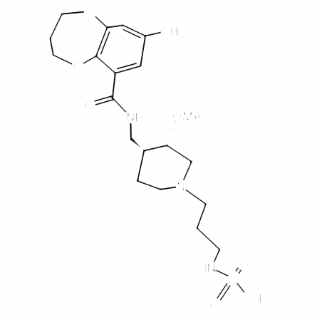 CO[C@@H]1CN(CCCNS(C)(=O)=O)CC[C@H]1CNC(=O)c1cc(C)cc2c1OCCCO2